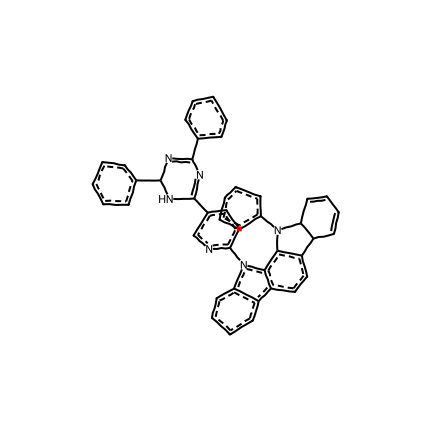 C1=CC2c3ccc4c5ccccc5n(-c5ccc(C6=NC(c7ccccc7)=NC(c7ccccc7)N6)cn5)c4c3N(c3ccccc3)C2C=C1